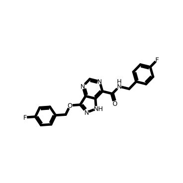 O=C(NCc1ccc(F)cc1)c1ncnc2c(OCc3ccc(F)cc3)n[nH]c12